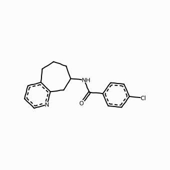 O=C(NC1CCCc2cccnc2C1)c1ccc(Cl)cc1